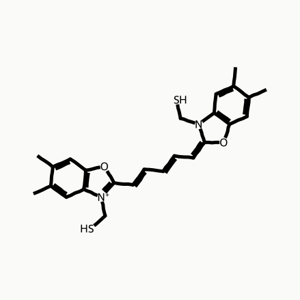 Cc1cc2c(cc1C)N(CS)C(=CC=CC=Cc1oc3cc(C)c(C)cc3[n+]1CS)O2